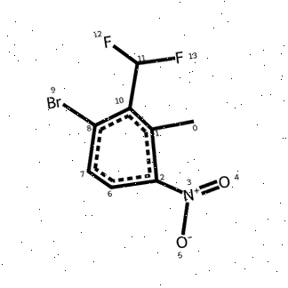 Cc1c([N+](=O)[O-])ccc(Br)c1C(F)F